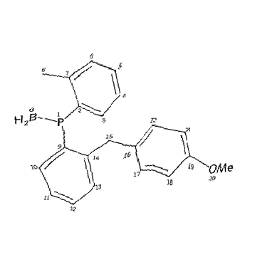 BP(c1ccccc1C)c1ccccc1Cc1ccc(OC)cc1